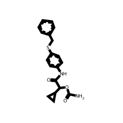 NC(=O)OC(C(=O)Nc1ccc(SCc2ccccc2)cc1)C1CC1